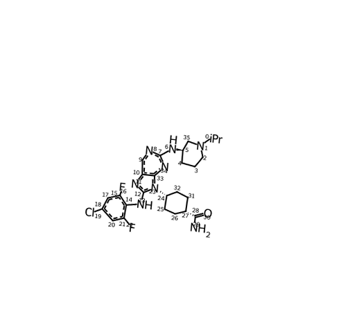 CC(C)N1CCC[C@@H](Nc2ncc3nc(Nc4c(F)cc(Cl)cc4F)n([C@H]4CC[C@@H](C(N)=O)CC4)c3n2)C1